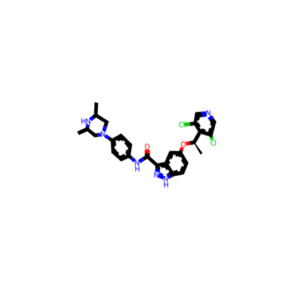 CC1CN(c2ccc(NC(=O)c3n[nH]c4ccc(O[C@H](C)c5c(Cl)cncc5Cl)cc34)cc2)CC(C)N1